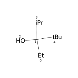 CCC(O)(C(C)C)C(C)(C)C